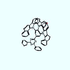 c1ccc(-c2nc(-c3ccccc3)nc(-c3cc(-n4c5ccccc5c5ccc6ccccc6c54)c(-n4c5ccccc5c5ccccc54)c(-n4c5ccccc5c5ccc6ccccc6c54)c3)n2)cc1